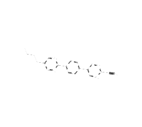 CCCCc1cnc(-c2ccc(-c3cnc(C#N)nc3)cc2)nc1